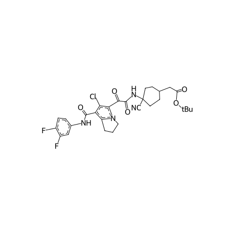 CC(C)(C)OC(=O)CC1CCC(C#N)(NC(=O)C(=O)c2c(Cl)c(C(=O)Nc3ccc(F)c(F)c3)c3n2CCC3)CC1